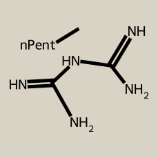 CCCCCC.N=C(N)NC(=N)N